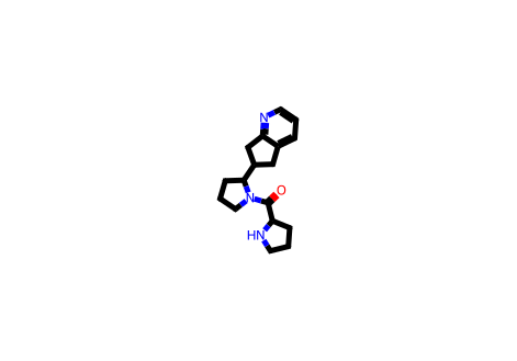 O=C(C1CCCN1)N1CCCC1C1Cc2cccnc2C1